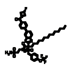 CCCCCCCCCCCCCCC(C(=O)NCCS(N)(=O)=O)(c1nc2ccc(-c3ccc(C(=O)N4CC(F)C4)cc3)cc2s1)S(=O)(=O)Cc1ccc(OC(F)(F)F)cc1